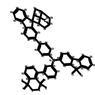 CC1(C)CCC(C)(C)c2c(-c3cccc(N(c4ccc(-c5ccc6c(c5)C5(c7ccccc7-6)C6CC7CC8CC5C86C7)cc4)c4ccc5c(c4)C(C)(C)c4ccccc4-5)c3)cccc21